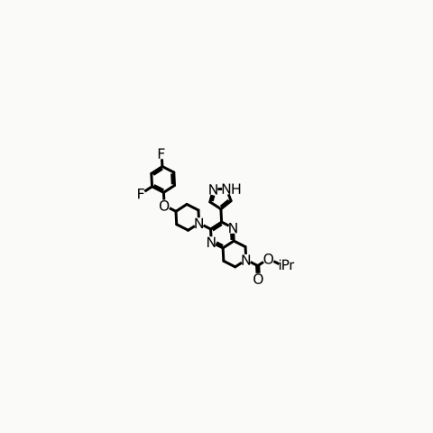 CC(C)OC(=O)N1CCc2nc(N3CCC(Oc4ccc(F)cc4F)CC3)c(-c3cn[nH]c3)nc2C1